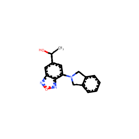 OC(c1cc(N2Cc3ccccc3C2)c2nonc2c1)C(F)(F)F